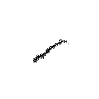 CC(=O)CCOCCOCCOCCOCCN1CCN(CCOCCOCCNC(=O)OCc2ccccc2)CC1